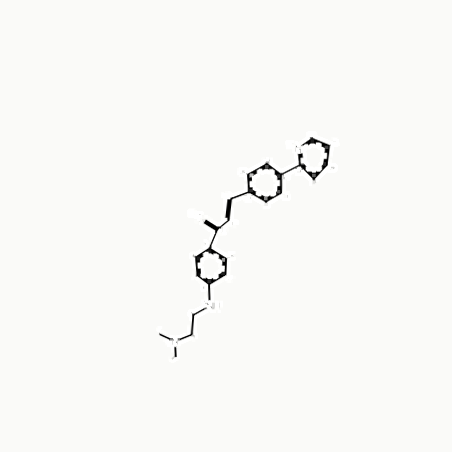 CN(C)CCNc1ccc(C(=O)C=Cc2ccc(-c3ccccn3)cc2)cc1